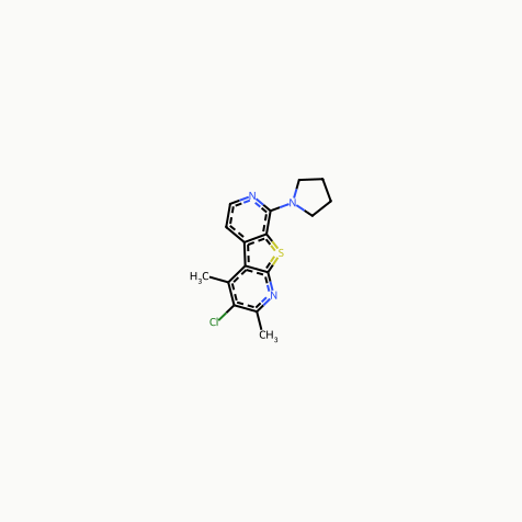 Cc1nc2sc3c(N4CCCC4)nccc3c2c(C)c1Cl